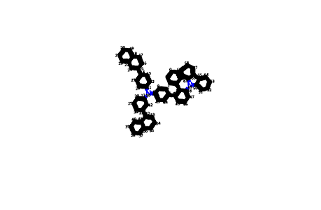 c1ccc(-c2c(-c3ccc(N(c4ccc(-c5ccc6ccccc6c5)cc4)c4cccc(-c5cccc6ccccc56)c4)cc3)cccc2-n2c3ccccc3c3ccccc32)cc1